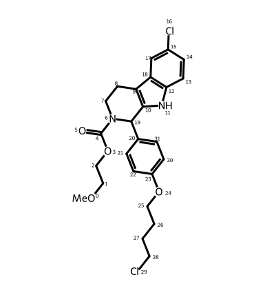 COCCOC(=O)N1CCc2c([nH]c3ccc(Cl)cc23)C1c1ccc(OCCCCCl)cc1